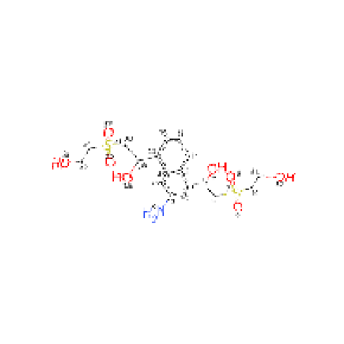 Nc1cc(C(O)CS(=O)(=O)CCO)c2cccc(C(O)CS(=O)(=O)CCO)c2c1